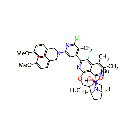 COc1ccc(CN(Cc2ccc(OC)cc2)c2cc(-c3nc4c5c(nc(C)c(C)c5c3F)N3C[C@H]5CC[C@@H]([C@H]3[C@H](C)O4)N5C(=O)OC(C)(C)C)c(C(F)(F)F)c(Cl)n2)cc1